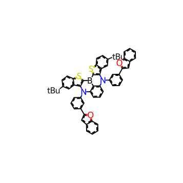 CC(C)(C)c1ccc2sc3c(c2c1)N(c1cccc(-c2cc4ccccc4o2)c1)c1cccc2c1B3c1sc3ccc(C(C)(C)C)cc3c1N2c1cccc(-c2cc3ccccc3o2)c1